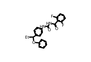 CCC(Oc1ccccc1)c1ccc(NC(=O)NC(=O)c2c(F)cccc2F)cc1